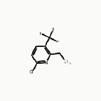 CCc1nc(Cl)ccc1C(F)(F)F